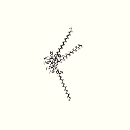 CCCCCCCCCCCCCCCC(=O)OC[C@H]1O[C@@](COC(=O)CCCCCCCCCCCCCCC)(O[C@H]2O[C@H](COC(=O)CCCCCCCCCCCCCCC)[C@@H](O)[C@H](O)[C@H]2O)[C@@H](O)[C@@H]1O